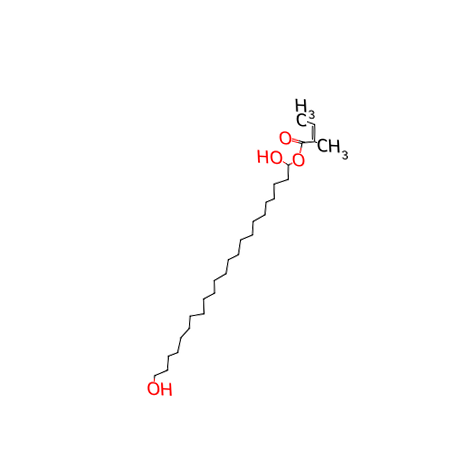 CC=C(C)C(=O)OC(O)CCCCCCCCCCCCCCCCCCCCCCO